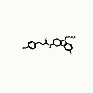 O=C(O)Cn1c2c(c3cc(F)ccc31)CC(NC(=O)CCc1ccc(O)cc1)CC2